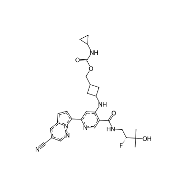 CC(C)(O)[C@H](F)CNC(=O)c1cnc(-c2ccc3cc(C#N)cnn23)cc1NC1CC(COC(=O)NC2CC2)C1